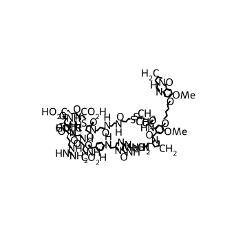 C=C1C[C@H]2C=Nc3cc(OCCCCCOc4cc(NC(=O)OCC(C)(C)SSCCC(=O)NCCNC(=O)CCN5C(=O)CC(SC[C@H](NC(=O)[C@H](CC(=O)O)NC(=O)[C@H](CC(=O)O)NC(=O)[C@H](CCCNC(=N)N)NC(=O)[C@H](CC(=O)O)NC(=O)CC[C@H](NC(=O)c6ccc(NCc7cnc8nc(N)[nH]c(=O)c8n7)cc6)C(=O)O)C(=O)O)C5=O)c(C(=O)N5CC(=C)C[C@H]5/C=N/OC)cc4OC)c(OC)cc3C(=O)N2C1